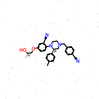 Cc1ccc([C@@H]2CN(Cc3ccc(C#N)cc3)CCN2c2ccc(OC[C@H](C)O)cc2C#N)cc1